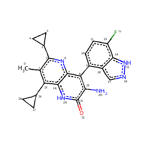 Cc1c(C2CC2)nc2c(-c3ccc(F)c4[nH]ncc34)c(N)c(=O)[nH]c2c1C1CC1